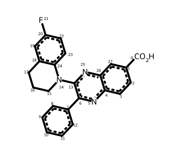 O=C(O)c1ccc2nc(-c3ccccc3)c(N3CCCc4cc(F)ccc43)nc2c1